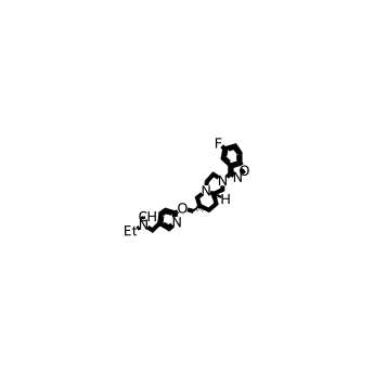 CCN(C)Cc1ccc(OC[C@@H]2CC[C@H]3CN(c4noc5ccc(F)cc45)CCN3C2)nc1